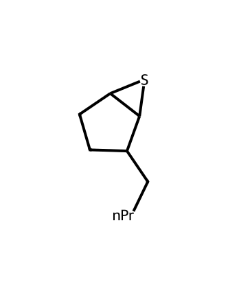 CCCCC1CCC2SC12